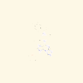 CC[C@H](c1ccc(Cl)cc1)N1C[C@H](C)N(c2nc3nncn3c3c2ncn3C[C@@H]2CCCO2)C[C@H]1C